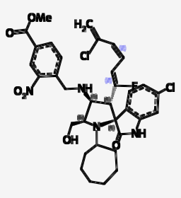 C=C(Cl)/C=C\C=C(/F)[C@H]1[C@H](NCc2ccc(C(=O)OC)cc2[N+](=O)[O-])[C@H](CO)N(C2CCCCCC2)[C@@]12C(=O)Nc1cc(Cl)ccc12